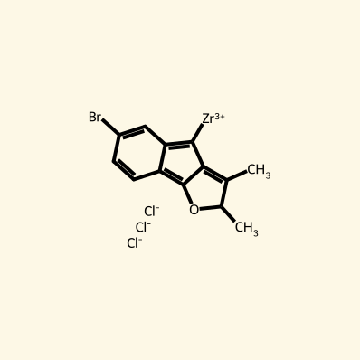 CC1=C2[C]([Zr+3])=c3cc(Br)ccc3=C2OC1C.[Cl-].[Cl-].[Cl-]